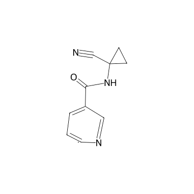 N#CC1(NC(=O)c2cc[c]nc2)CC1